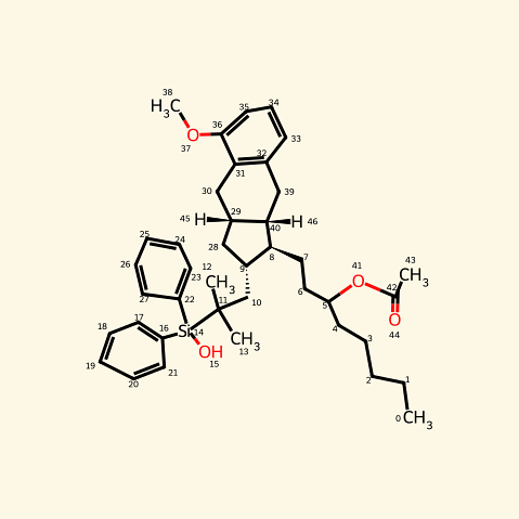 CCCCCC(CC[C@H]1[C@H](CC(C)(C)[Si](O)(c2ccccc2)c2ccccc2)C[C@@H]2Cc3c(cccc3OC)C[C@@H]21)OC(C)=O